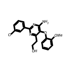 COc1ccccc1Oc1c(N)nc(-c2cccc(Cl)c2)nc1CCO